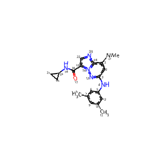 CNc1cc(Nc2cc(C)cc(C)c2)nn2c(C(=O)NC3CC3)cnc12